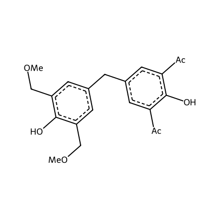 COCc1cc(Cc2cc(C(C)=O)c(O)c(C(C)=O)c2)cc(COC)c1O